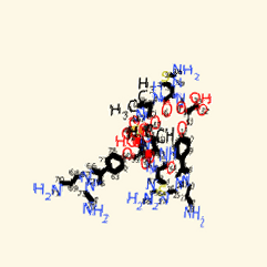 CC1(C)[C@H](NC(=O)/C(=N\O[C@@H](COc2ccc(-c3cn(CCCN)[n+](CCN)c3)cc2)C(=O)O)c2csc(N)n2)C(=O)N1OS(=O)(=O)ON1C(=O)[C@@H](NC(=O)/C(=N\O[C@@H](COc2ccc(-c3cn(CCCN)[n+](CCN)c3)cc2)C(=O)O)c2csc(N)n2)C1(C)C